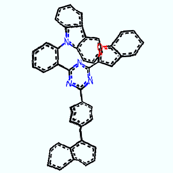 c1ccc(-n2c3ccccc3c3ccccc32)c(-c2nc(-c3ccc(-c4cccc5ccccc45)cc3)nc(-c3cc4ccccc4o3)n2)c1